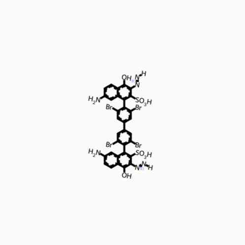 [H]/N=N/c1c(S(=O)(=O)O)c(-c2c(Br)cc(-c3cc(Br)c(-c4c(S(=O)(=O)O)c(/N=N/[H])c(O)c5ccc(N)cc45)c(Br)c3)cc2Br)c2cc(N)ccc2c1O